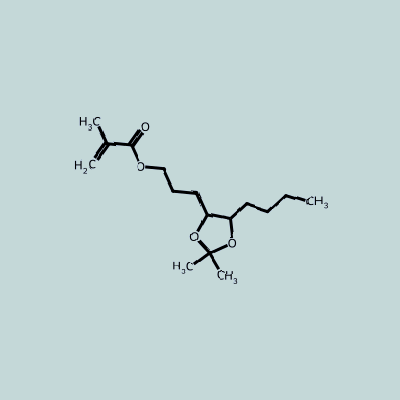 C=C(C)C(=O)OCCCC1OC(C)(C)OC1CCCC